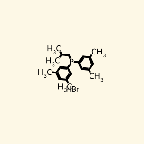 Br.Cc1cc(C)cc(P(CC(C)C)c2cc(C)cc(C)c2)c1